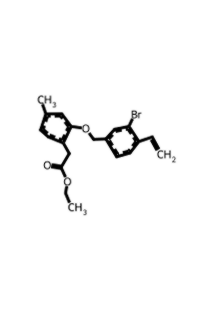 C=Cc1ccc(COc2cc(C)ccc2CC(=O)OCC)cc1Br